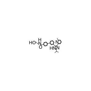 Cc1cccc(-c2nc(C(C)C)[nH]c2-c2cccc(-c3ccc(C(=O)NCCO)cc3)c2)n1